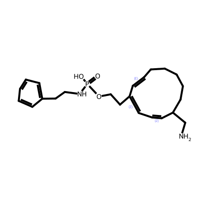 NCC1\C=C/C=C(CCOP(=O)(O)NCCc2ccccc2)\C=C\CCCCC1